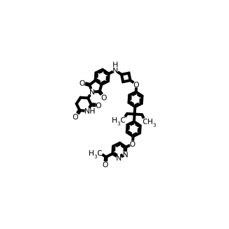 CCC(CC)(c1ccc(Oc2ccc(C(C)=O)nn2)cc1)c1ccc(OC2CC(Nc3ccc4c(c3)C(=O)N(C3CCC(=O)NC3=O)C4=O)C2)cc1